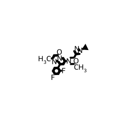 Cc1cc(=O)n2cc(N3CC(C)OC(c4cnn(C5CC5)c4)C3)cc(-c3ccc(F)cc3F)c2n1